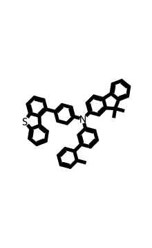 CC1C=CC=CC1c1cccc(N(C2=CC=C(c3cccc4sc5ccccc5c34)CC2)c2ccc3c(c2)C(C)(C)c2ccccc2-3)c1